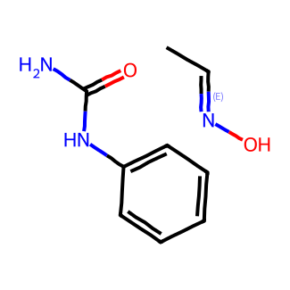 C/C=N/O.NC(=O)Nc1ccccc1